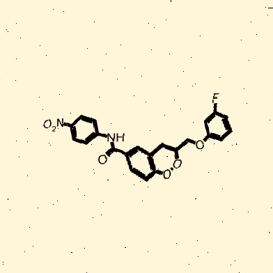 O=C(Nc1ccc([N+](=O)[O-])cc1)c1ccc2c(c1)CC(COc1cccc(F)c1)OO2